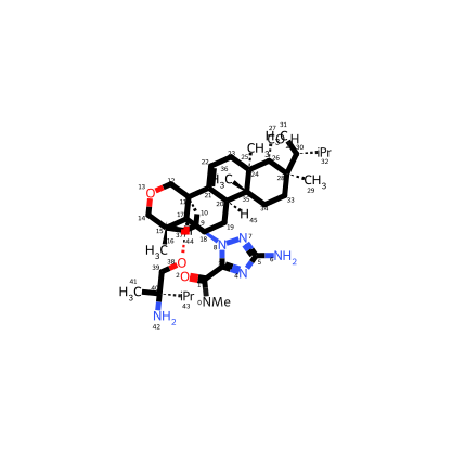 CNC(=O)c1nc(N)nn1[C@@H]1C[C@@]23COC[C@](C)([C@@H]2CC[C@H]2C3=CC[C@@]3(C)[C@H](C(=O)O)[C@@](C)([C@H](C)C(C)C)CC[C@]23C)[C@H]1OC[C@](C)(N)C(C)C